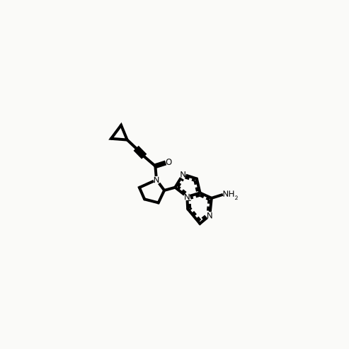 Nc1nccn2c(C3CCCN3C(=O)C#CC3CC3)ncc12